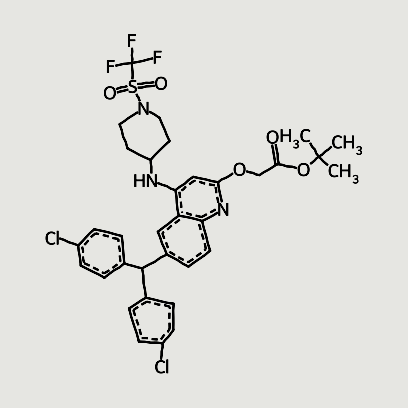 CC(C)(C)OC(=O)COc1cc(NC2CCN(S(=O)(=O)C(F)(F)F)CC2)c2cc(C(c3ccc(Cl)cc3)c3ccc(Cl)cc3)ccc2n1